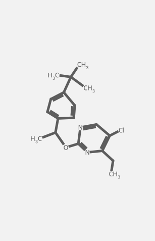 CCc1nc(OC(C)c2ccc(C(C)(C)C)cc2)ncc1Cl